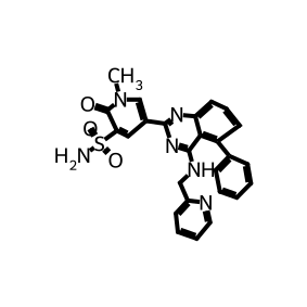 Cn1cc(-c2nc(NCc3ccccn3)c3c(-c4ccccc4)cccc3n2)cc(S(N)(=O)=O)c1=O